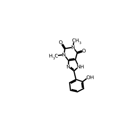 Cn1c(=O)c2[nH]c(-c3ccccc3O)nc2n(C)c1=O